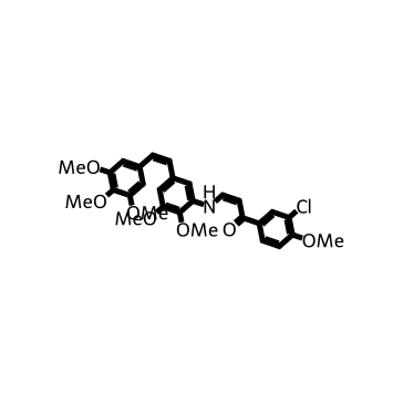 COc1ccc(C(=O)/C=C\Nc2cc(/C=C\c3cc(OC)c(OC)c(OC)c3)cc(OC)c2OC)cc1Cl